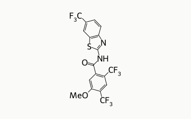 COc1cc(C(=O)Nc2nc3ccc(C(F)(F)F)cc3s2)c(C(F)(F)F)cc1C(F)(F)F